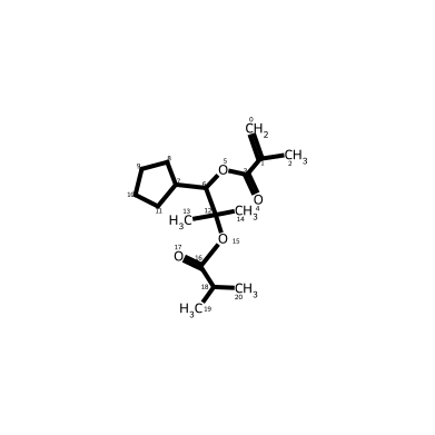 C=C(C)C(=O)OC(C1CCCC1)C(C)(C)OC(=O)C(C)C